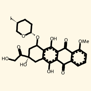 COc1cccc2c1C(=O)c1c(O)c3c(c(O)c1C2=O)C[C@@](O)(C(=O)CO)CC3O[C@H]1CC[C@@H](I)CO1